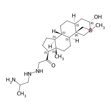 COC[C@]12CC[C@@H](O)C[C@@H]1CC[C@H]1[C@@H]3CC[C@H](C(=O)CNNCC(C)N)[C@@]3(C)CC[C@@H]12